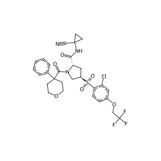 N#CC1(NC(=O)[C@@H]2C[C@@H](S(=O)(=O)c3ccc(OCC(F)(F)F)cc3Cl)CN2C(=O)C2(c3ccccc3)CCOCC2)CC1